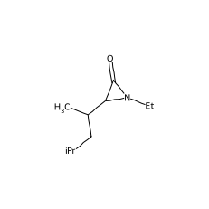 CCN1C(=O)C1C(C)CC(C)C